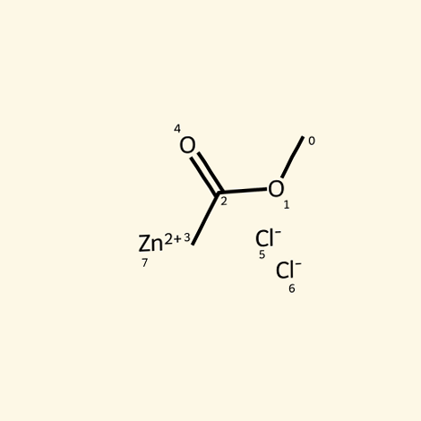 COC(C)=O.[Cl-].[Cl-].[Zn+2]